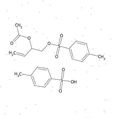 C=CC(COS(=O)(=O)c1ccc(C)cc1)OC(C)=O.Cc1ccc(S(=O)(=O)O)cc1